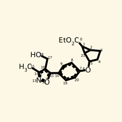 CCOC(=O)C1C2CCC(Oc3ccc(-c4onc(C)c4CO)cc3)C21